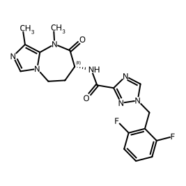 Cc1ncn2c1N(C)C(=O)[C@H](NC(=O)c1ncn(Cc3c(F)cccc3F)n1)CC2